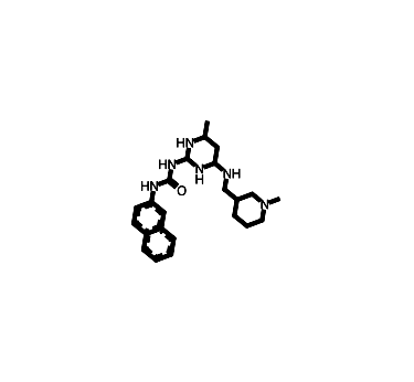 CC1CC(NCC2CCCN(C)C2)NC(NC(=O)Nc2ccc3ccccc3c2)N1